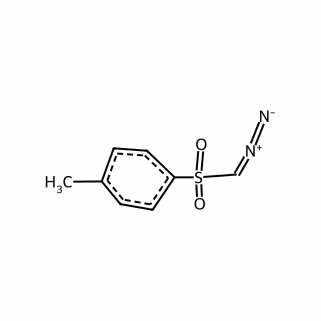 Cc1ccc(S(=O)(=O)C=[N+]=[N-])cc1